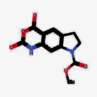 CC(C)(C)OC(=O)N1CCc2cc3c(=O)oc(=O)[nH]c3cc21